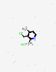 Cc1ccnc(C)c1CCl.Cl